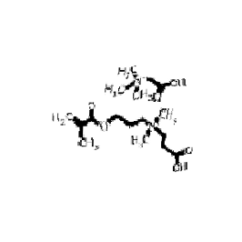 C=C(C)C(=O)OCCC[N+](C)(C)CCC(=O)O.C[N+](C)(C)CC(=O)O